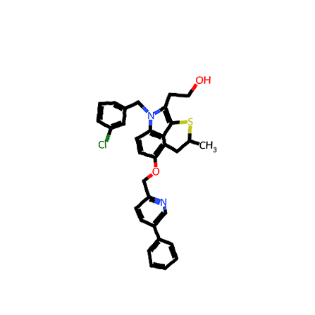 CC1Cc2c(OCc3ccc(-c4ccccc4)cn3)ccc3c2c(c(CCO)n3Cc2cccc(Cl)c2)S1